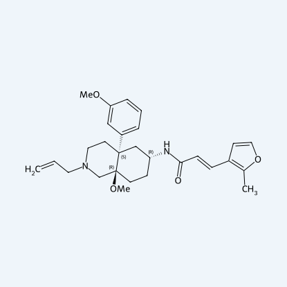 C=CCN1CC[C@@]2(c3cccc(OC)c3)C[C@H](NC(=O)C=Cc3ccoc3C)CC[C@]2(OC)C1